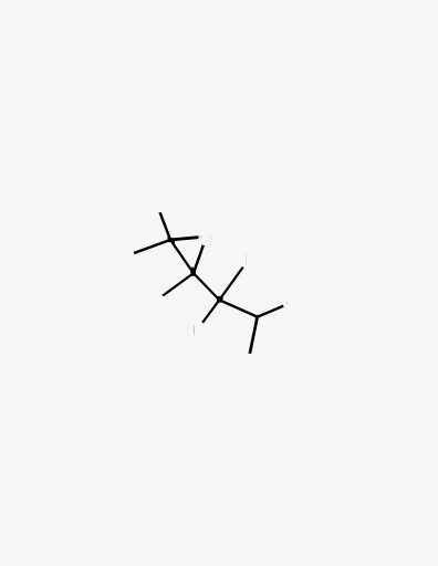 CC(F)C(F)(F)C1(F)OC1(F)F